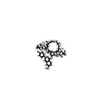 COc1ccc2c(O[C@@H]3C[C@H]4C(=O)N[C@]5(C(=O)NS(=O)(=O)C6(C)CC6)C[C@H]5/C=C\CC[C@@H](C)C[C@@H](C)[C@H](N(C(=O)O)[C@H](C)C(F)(F)F)C(=O)N4C3)nc(-c3ccc(F)cc3)cc2c1